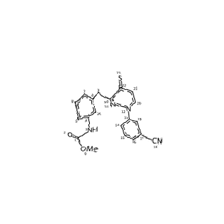 COC(=O)Nc1cccc(Cc2nn(-c3cccc(C#N)c3)ccc2=S)c1